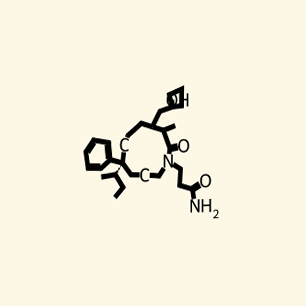 CCC(C)[C@]1(c2ccccc2)CCCC(CC2(O)CCC2)C(C)C(=O)N(CCC(N)=O)CCC1